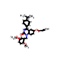 C#CCOc1ccc2c(c1)c(-c1ccc(C(C)C)cc1)nc(=O)n2Cc1cc(OC)ccc1OC